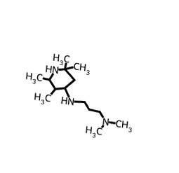 CC1NC(C)(C)CC(NCCCN(C)C)C1C